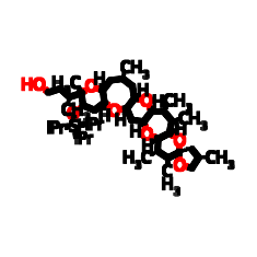 CC(C)[Si](O[C@@H]1C[C@@H]2O[C@@H]3C[C@@H]4O[C@@H]5[C@@H](C)[C@H](C)[C@@]6(C[C@H](C)CO6)O[C@H]5[C@@H](C)[C@H](C)[C@H]4O[C@H]3C[C@@H](C)C[C@H]2O[C@@]1(C)[C@H](C)CCO)(C(C)C)C(C)C